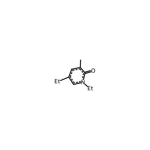 CCc1cc(C)c(=O)n(CC)c1